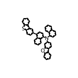 c1ccc2c(N(c3ccc4c(c3)oc3ccccc34)c3ccc(-c4ccc5sc6ccccc6c5c4)c4ccccc34)cccc2c1